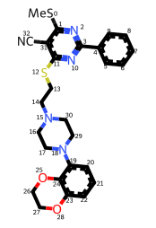 CSc1nc(-c2ccccc2)nc(SCCN2CCN(c3cccc4c3OCCO4)CC2)c1C#N